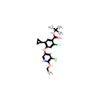 CCOc1ncc(Oc2cc(F)c(C(=O)OC(C)(C)C)cc2C2CC2)cc1Cl